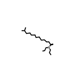 C=C(CCCCCCCCCCC(C)C)N(CCC)CCC